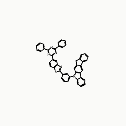 c1ccc(-c2nc(-c3ccccc3)nc(-c3ccc4sc(-c5cccc(-n6c7ccccc7c7cc8c(cc76)Cc6ccccc6-8)c5)nc4c3)n2)cc1